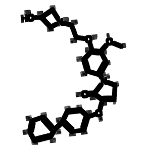 COc1cc(N2CC=C(Oc3ccc(-c4ccccc4)cc3)C2=O)ccc1OCCN1CC(O)C1